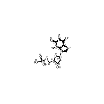 Cn1c(=O)c2ncn([C@H]3C[C@H](O)[C@@H](COP(=O)(O)O)O3)c2n(C)c1=O